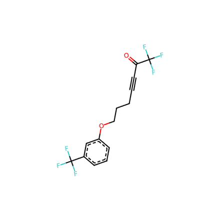 O=C(C#CCCCOc1cccc(C(F)(F)F)c1)C(F)(F)F